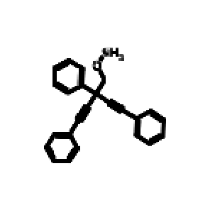 [SiH3]OCC(C#Cc1ccccc1)(C#Cc1ccccc1)c1ccccc1